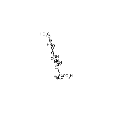 CC(CCCCc1cccc(S(=O)(=O)Nc2ncc(C(=O)NCCOCCOCC(=O)NCCOCCOCC(=O)O)cn2)c1)CC(C)C(=O)O